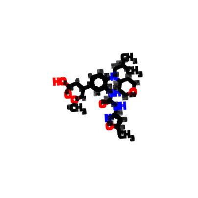 COCC(CC(=O)O)c1ccc(N(CC(C)C)C2CCOCC2)c(NC(=O)Nc2cc(C)on2)c1